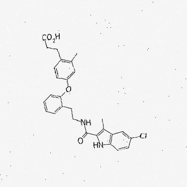 Cc1cc(Oc2ccccc2CCNC(=O)c2[nH]c3ccc(Cl)cc3c2C)ccc1CCC(=O)O